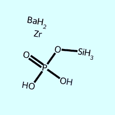 O=P(O)(O)O[SiH3].[BaH2].[Zr]